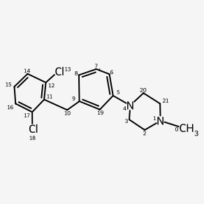 CN1CCN(c2c[c]cc(Cc3c(Cl)cccc3Cl)c2)CC1